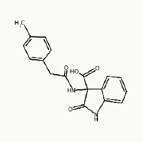 Cc1ccc(CC(=O)NC2(C(=O)O)C(=O)Nc3ccccc32)cc1